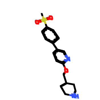 CS(=O)(=O)c1ccc(-c2ccc(OCC3CCNCC3)nc2)cc1